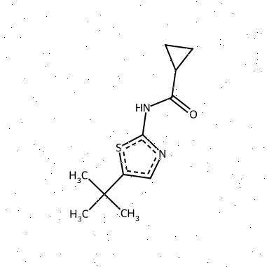 CC(C)(C)c1cnc(NC(=O)C2CC2)s1